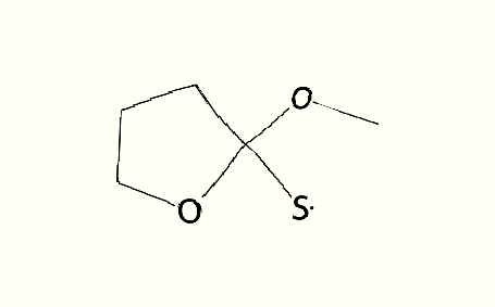 COC1([S])CCCO1